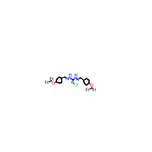 CCC(CC)Oc1ccc(/C=N/NC(=NCl)N/N=C/c2ccc(OC(CC)CC)cc2)cc1